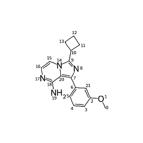 COc1cccc(-c2nc(C3CCC3)n3ccnc(N)c23)c1